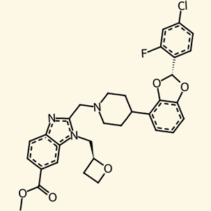 COC(=O)c1ccc2nc(CN3CCC(c4cccc5c4O[C@H](c4ccc(Cl)cc4F)O5)CC3)n(C[C@@H]3CCO3)c2c1